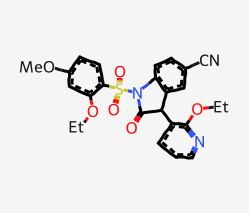 CCOc1cc(OC)ccc1S(=O)(=O)N1C(=O)C(c2cccnc2OCC)c2cc(C#N)ccc21